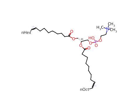 CCCCCC/C=C\CCCCCCCC(=O)OC[C@H](COP(=O)(O)OCC[N+](C)(C)C)OC(=O)CCCCCCC/C=C\CCCCCCCC